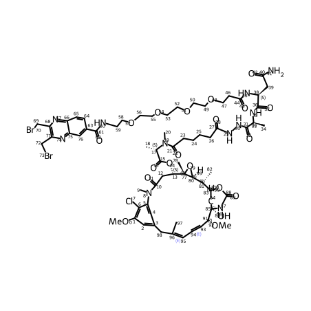 COc1cc2cc(c1Cl)N(C)C(=O)C[C@H](OC(=O)[C@H](C)N(C)C(=O)CCCCC(=O)NNC(=O)[C@H](C)NC(=O)[C@H](CC(N)=O)NC(=O)CCOCCOCCOCCOCCNC(=O)c1ccc3nc(CBr)c(CBr)nc3c1)[C@]1(C)O[C@H]1[C@H](C)[C@@H]1C[C@@](O)(NC(=O)O1)[C@H](OC)/C=C/C=C(\C)C2